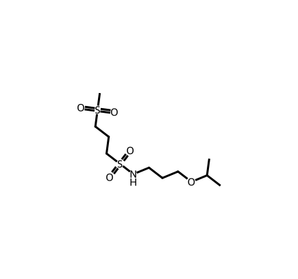 CC(C)OCCCNS(=O)(=O)CCCS(C)(=O)=O